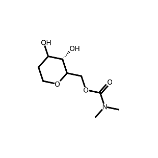 CN(C)C(=O)OCC1OCCC(O)[C@@H]1O